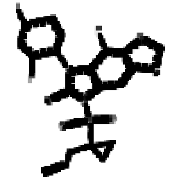 C=CCC1(S(=O)(=O)n2c(=O)n(-c3ccc(I)cc3F)c3c(F)c4ncsc4cc32)CC1